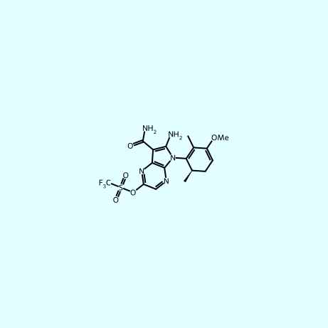 COC1=CC[C@@H](C)C(n2c(N)c(C(N)=O)c3nc(OS(=O)(=O)C(F)(F)F)cnc32)=C1C